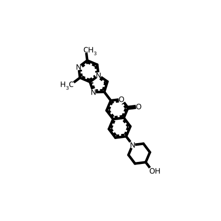 Cc1cn2cc(-c3cc4ccc(N5CCC(O)CC5)cc4c(=O)o3)nc2c(C)n1